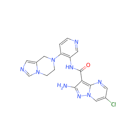 Nc1nn2cc(Cl)cnc2c1C(=O)Nc1cnccc1N1CCn2cncc2C1